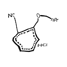 CCCOc1ccccc1C#N.Cl